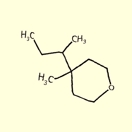 CCC(C)C1(C)CCOCC1